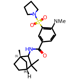 CNc1ccc(C(=O)NC2C(C)(C)[C@@H]3CC[C@@]2(C)C3)cc1S(=O)(=O)N1CCCC1